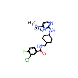 CN(C)c1ccnc(NC2CCC(CNC(=O)c3ccc(F)c(Cl)c3)CC2)n1